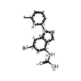 Cc1cccc(-n2ncc3c(NC(=O)O)cc(Br)cc32)n1